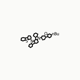 CCCCc1ccc2c(c1)oc1cc(-n3c4ccccc4c4c3ccc3c5ccccc5n(-c5cccc6c5sc5ccccc56)c34)ccc12